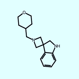 c1ccc2c(c1)NCC21CN(CC2CCOCC2)C1